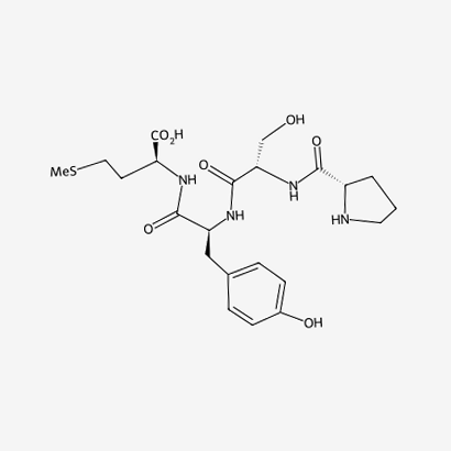 CSCC[C@H](NC(=O)[C@H](Cc1ccc(O)cc1)NC(=O)[C@H](CO)NC(=O)[C@@H]1CCCN1)C(=O)O